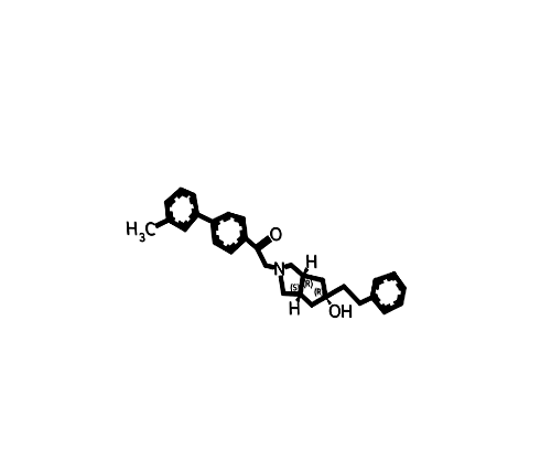 Cc1cccc(-c2ccc(C(=O)CN3C[C@@H]4C[C@@](O)(CCc5ccccc5)C[C@@H]4C3)cc2)c1